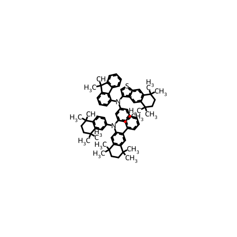 Cc1cc(N(c2ccc3c(c2)C(C)(C)CCC3(C)C)c2cc3c(cc2-c2ccccc2)C(C)(C)CCC3(C)C)cc(N(c2cccc3c2-c2ccccc2C3(C)C)c2csc3cc4c(cc23)C(C)(C)CCC4(C)C)c1